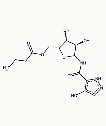 CCCC(=O)OC[C@H]1OC(NC(=O)c2[nH]ncc2O)[C@H](O)[C@@H]1O